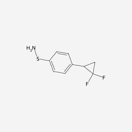 NSc1ccc(C2CC2(F)F)cc1